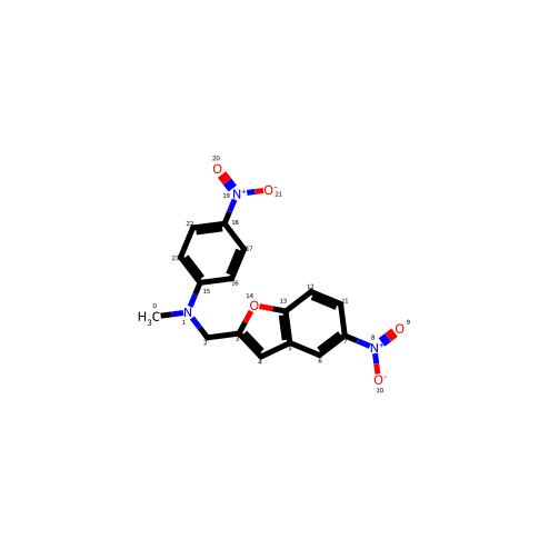 CN(Cc1cc2cc([N+](=O)[O-])ccc2o1)c1ccc([N+](=O)[O-])cc1